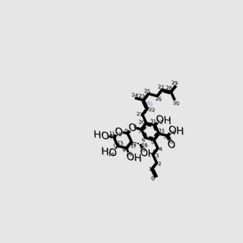 C=CCCCc1cc(OC2O[C@H](O)[C@@H](O)[C@H](O)[C@H]2CO)c(C/C=C(\C)CCC=C(C)C)c(O)c1C(=O)O